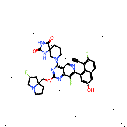 C#Cc1c(F)ccc2cc(O)cc(-c3ncc4c(N5CCCC6(C5)NC(=O)NC6=O)nc(OC[C@@]56CCCN5C[C@H](F)C6)nc4c3F)c12